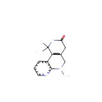 CNN1CC2=C(c3cccnc31)C(C)(C)NC(=O)C2